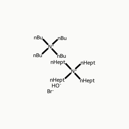 CCCCCCC[N+](CCCCCCC)(CCCCCCC)CCCCCCC.CCCC[N+](CCCC)(CCCC)CCCC.[Br-].[OH-]